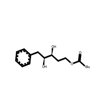 CC(C)(C)C(=O)OCC[C@H](O)[C@@H](O)Cc1ccccc1